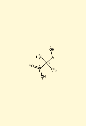 CC(C)(CO)[PH](=O)O